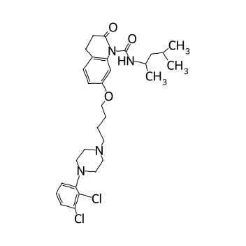 CC(C)CC(C)NC(=O)N1C(=O)CCc2ccc(OCCCCN3CCN(c4cccc(Cl)c4Cl)CC3)cc21